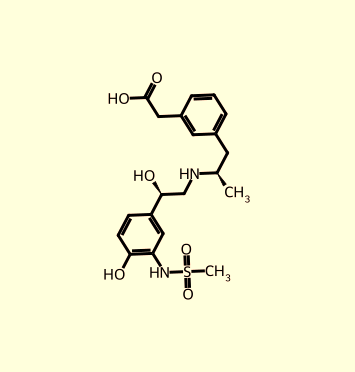 C[C@H](Cc1cccc(CC(=O)O)c1)NC[C@H](O)c1ccc(O)c(NS(C)(=O)=O)c1